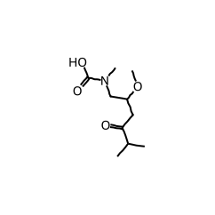 COC(CC(=O)C(C)C)CN(C)C(=O)O